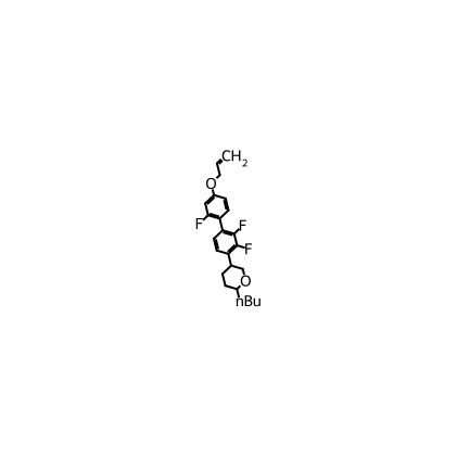 C=CCOc1ccc(-c2ccc(C3CCC(CCCC)OC3)c(F)c2F)c(F)c1